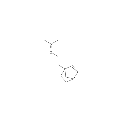 C[SiH](C)OCCC12C=CC(CC1)C2